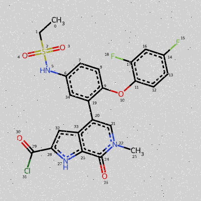 CCS(=O)(=O)Nc1ccc(Oc2ccc(F)cc2F)c(-c2cn(C)c(=O)c3[nH]c(C(=O)Cl)cc23)c1